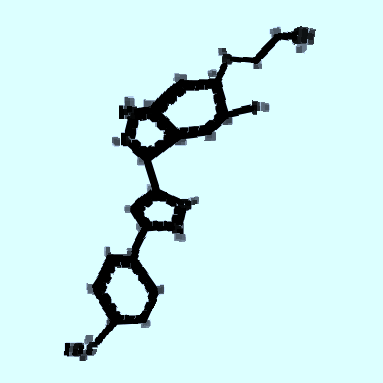 O=C(O)c1ccc(-c2cc(-c3n[nH]c4cc(OCCO)c(F)cc34)on2)cc1